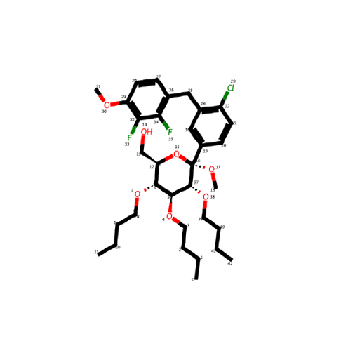 CCCCO[C@H]1[C@H](OCCCC)[C@@H](CO)O[C@@](OC)(c2ccc(Cl)c(Cc3ccc(OC)c(F)c3F)c2)[C@@H]1OCCCC